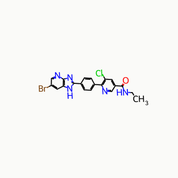 CCNC(=O)c1cnc(-c2ccc(-c3nc4ncc(Br)cc4[nH]3)cc2)c(Cl)c1